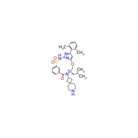 Cc1cccc(C)c1-c1cc2nc(n1)NS(=O)(=O)c1cccc(c1)C(=O)N(C1CC3(CCNCC3)C1)[C@H](CC(C)C)CO2